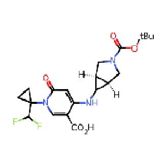 CC(C)(C)OC(=O)N1C[C@@H]2C(Nc3cc(=O)n(C4(C(F)F)CC4)cc3C(=O)O)[C@@H]2C1